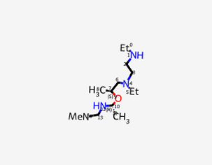 CCNCCN(CC)C[C@H](C)O[C@H](C)NCNC